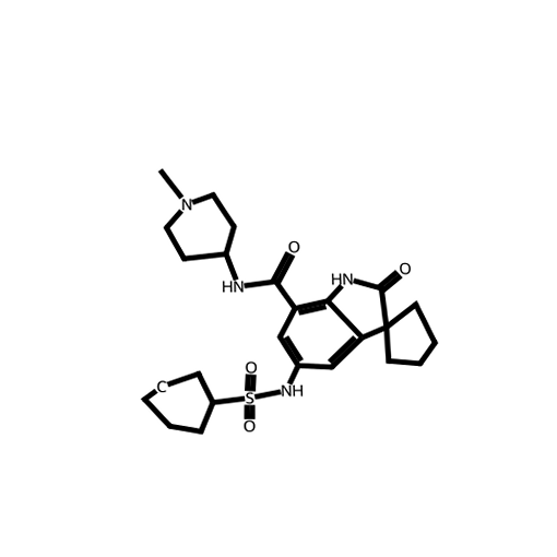 CN1CCC(NC(=O)c2cc(NS(=O)(=O)C3CCCCC3)cc3c2NC(=O)C32CCCC2)CC1